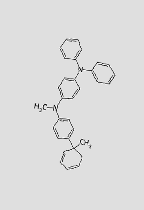 CN(c1ccc(N(c2ccccc2)c2ccccc2)cc1)c1ccc(C2(C)C=CC=CC2)cc1